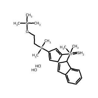 C[Si](C)(C)OCC[Si](C)(C)C1=CC[C]([Zr]([CH3])([CH3])(=[SiH2])[CH]2C=Cc3ccccc32)=C1.Cl.Cl